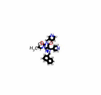 CC(C)Cn1c(=O)n(Cc2cccnc2)c(=O)c2c(-c3ccncc3)n(Cc3cccc4ccccc34)nc21